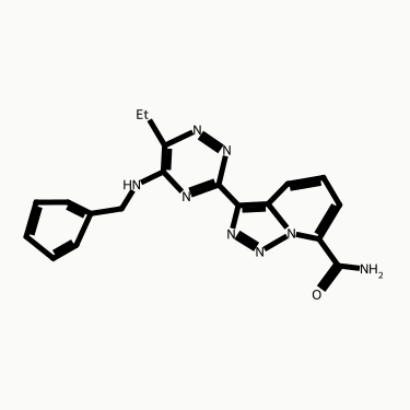 CCc1nnc(-c2nnn3c(C(N)=O)cccc23)nc1NCc1ccccc1